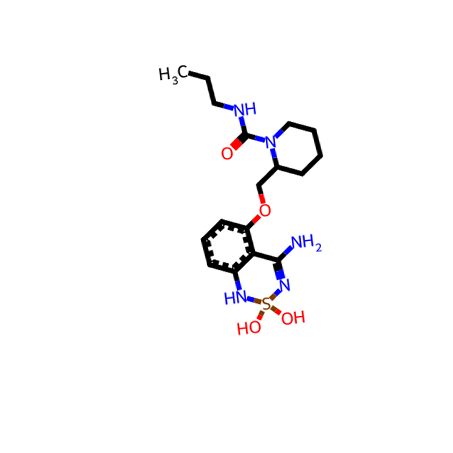 CCCNC(=O)N1CCCCC1COc1cccc2c1C(N)=NS(O)(O)N2